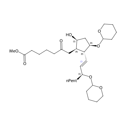 CCCCC[C@@H](/C=C/[C@@H]1[C@@H](CC(=O)CCCCC(=O)OC)[C@@H](O)C[C@H]1OC1CCCCO1)OC1CCCCO1